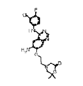 CC1(C)CN(CCOc2cc3ncnc(Nc4ccc(F)c(Cl)c4)c3cc2N)CC(=O)O1